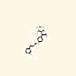 CCc1sc2ncnc(N)c2c1-c1ccc(NC(=O)C=Cc2cccc(C(F)(F)F)c2)cc1